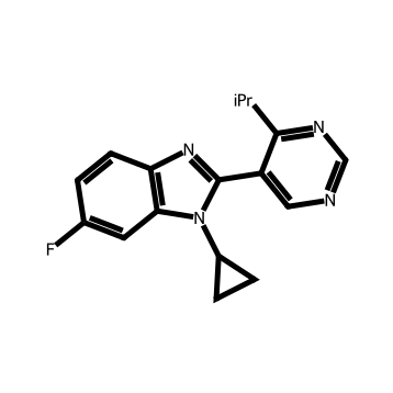 CC(C)c1ncncc1-c1nc2ccc(F)cc2n1C1CC1